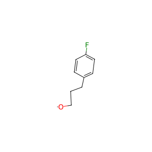 [O]CCCc1ccc(F)cc1